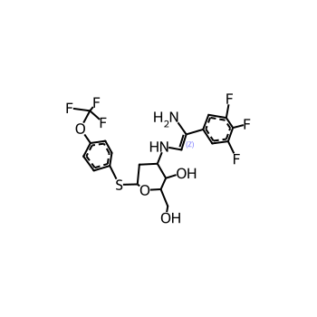 N/C(=C\NC1CC(Sc2ccc(OC(F)(F)F)cc2)OC(CO)C1O)c1cc(F)c(F)c(F)c1